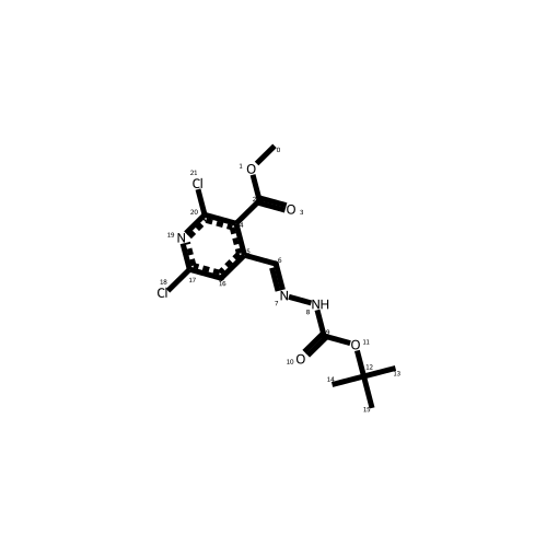 COC(=O)c1c(/C=N/NC(=O)OC(C)(C)C)cc(Cl)nc1Cl